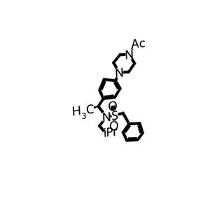 CC(=O)N1CCN(c2ccc([C@H](C)N(CC(C)C)S(=O)(=O)Cc3ccccc3)cc2)CC1